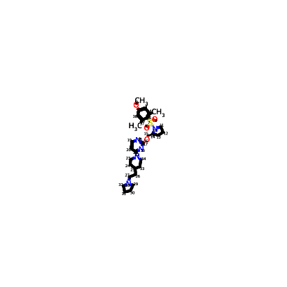 COc1cc(C)c(S(=O)(=O)N2CCC[C@H]2COc2nccc(N3CCC(CCN4CCCC4)CC3)n2)c(C)c1